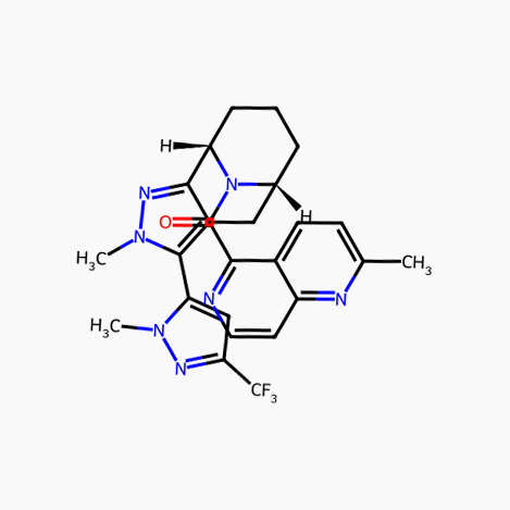 Cc1ccc2c(C(=O)N3[C@@H]4CCC[C@H]3c3nn(C)c(-c5cc(C(F)(F)F)nn5C)c3C4)nccc2n1